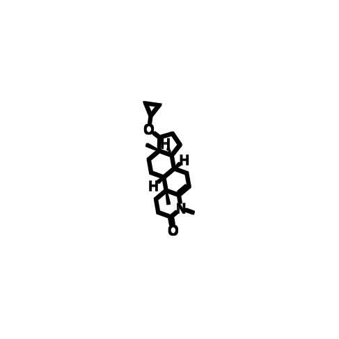 CN1C(=O)CC[C@@]2(C)C1=CC[C@@H]1[C@H]2CC[C@]2(C)C(OC3CC3)CC[C@@H]12